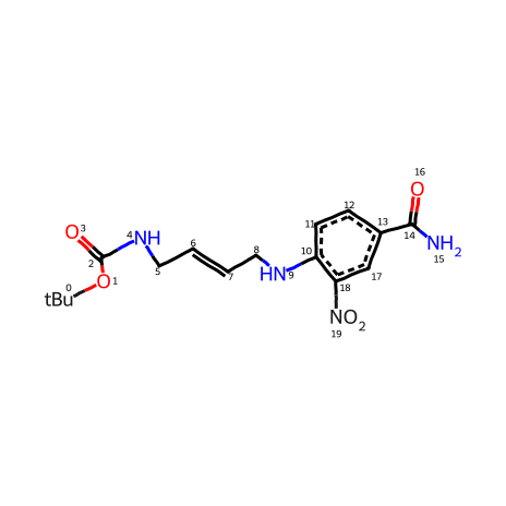 CC(C)(C)OC(=O)NCC=CCNc1ccc(C(N)=O)cc1[N+](=O)[O-]